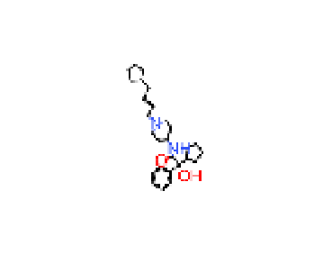 O=C(NC1CCN(C/C=C/CC2CCCC2)CC1)C(O)(c1ccccc1)C1CCCC1